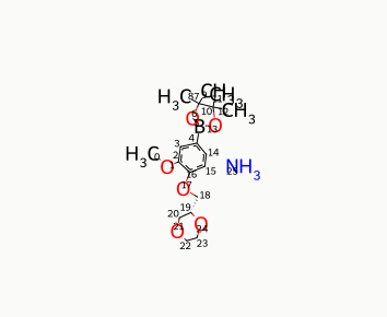 COc1cc(B2OC(C)(C)C(C)(C)O2)ccc1OC[C@H]1COCCO1.N